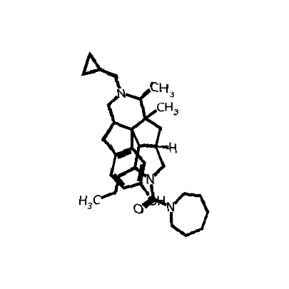 CCCC1C2[C@@H](CN1C(=O)N1CCCCCC1)CC1(C)C(C)N(CC3CC3)CC3Cc4ccc(O)cc4C321